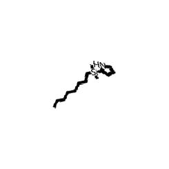 CCCCCCCC[Si](C)(C)c1ccc[nH]1